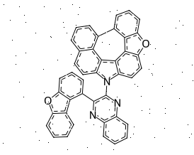 c1cc2c3c(c1)ccc1c3c3c4c(ccc3n1-c1nc3ccccc3nc1-c1cccc3oc5ccccc5c13)oc1cccc-2c14